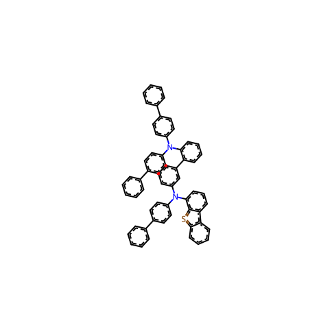 c1ccc(-c2ccc(N(c3ccc(-c4ccccc4)cc3)c3ccccc3-c3cccc(N(c4ccc(-c5ccccc5)cc4)c4cccc5c4sc4ccccc45)c3)cc2)cc1